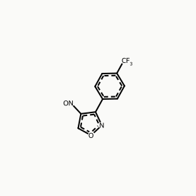 O=Nc1conc1-c1ccc(C(F)(F)F)cc1